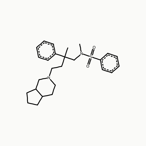 CN(CC(C)(CCN1CCC2CCCC2C1)c1ccccc1)S(=O)(=O)c1ccccc1